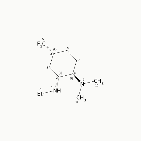 CCN[C@@H]1C[C@H](C(F)(F)F)CC[C@H]1N(C)C